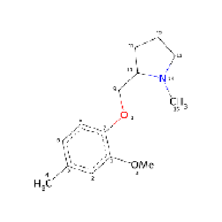 COc1cc(C)ccc1OCC1CCCN1C